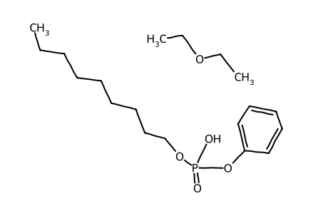 CCCCCCCCCOP(=O)(O)Oc1ccccc1.CCOCC